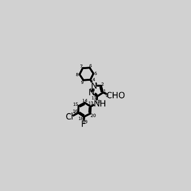 O=Cc1cn(C2CCCCC2)nc1Nc1ccc(Cl)c(F)c1